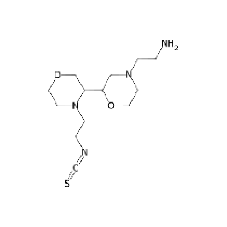 NCCN1CCOC(C2COCCN2CCN=C=S)C1